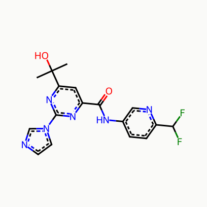 CC(C)(O)c1cc(C(=O)Nc2ccc(C(F)F)nc2)nc(-n2ccnc2)n1